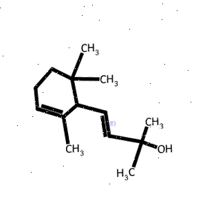 CC1=CCCC(C)(C)C1/C=C/C(C)(C)O